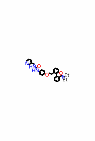 CCN(CC)C(=O)c1ccccc1-c1ccccc1CCOc1ccc(NC(=O)NCc2cccnc2)cc1